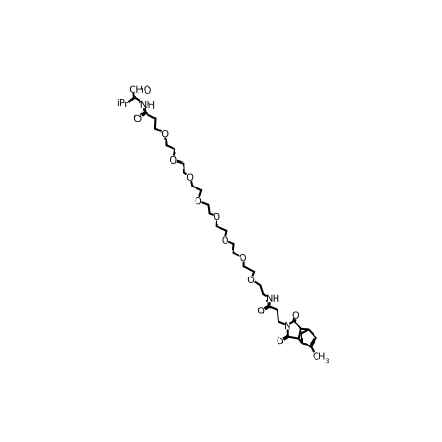 CC1=CC2CC1C1C(=O)N(CCC(=O)NCCOCCOCCOCCOCCOCCOCCOCCOCCC(=O)NC(C=O)C(C)C)C(=O)C21